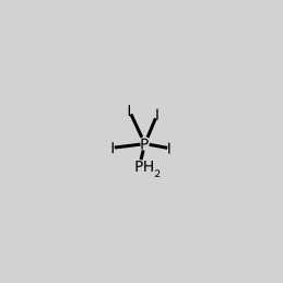 PP(I)(I)(I)I